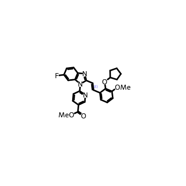 COC(=O)c1ccc(-n2c(/C=C/c3cccc(OC)c3OC3CCCC3)nc3ccc(F)cc32)nc1